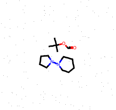 C1CCN(N2CCCC2)CC1.CC(C)(C)OC=O